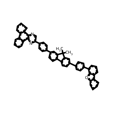 CC1(C)c2cc(-c3ccc(-c4cnc5c6ccccc6c6ccccc6c5n4)cc3)ccc2-c2ccc(-c3ccc(-c4cccc5c4oc4ccccc45)cc3)cc21